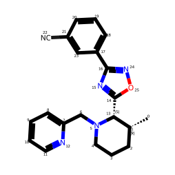 C[C@@H]1CCCN(Cc2ccccn2)[C@@H]1c1nc(-c2cccc(C#N)c2)no1